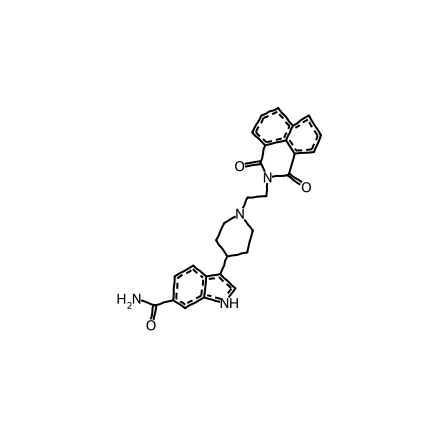 NC(=O)c1ccc2c(C3CCN(CCN4C(=O)c5cccc6cccc(c56)C4=O)CC3)c[nH]c2c1